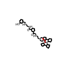 O=C(CNCCN1CCC(OC(=O)N(c2ccccc2-c2ccccc2)c2ccccc2-c2ccccc2)CC1)c1cccc(C(=O)NCCNCc2cccc(O)c2)c1